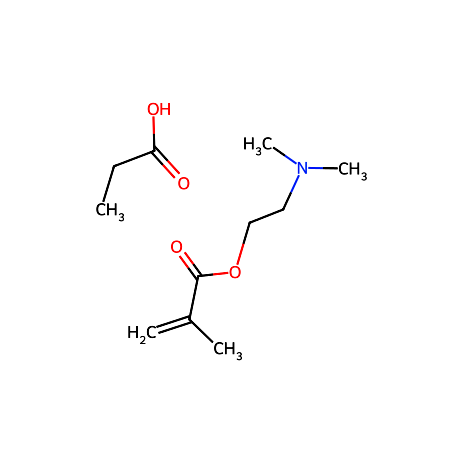 C=C(C)C(=O)OCCN(C)C.CCC(=O)O